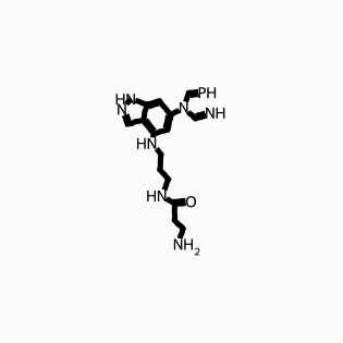 N=CN(C=P)c1cc(NCCCNC(=O)CCN)c2cn[nH]c2c1